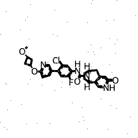 CO[C@H]1C[C@@H](Oc2ccc(-c3cc(F)c(NC(=O)N4[C@H]5CC[C@@H]4c4c[nH]c(=O)cc4C5)cc3Cl)cn2)C1